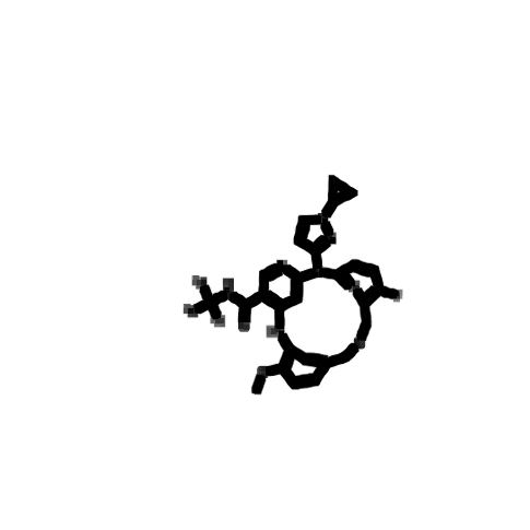 [2H]C([2H])([2H])NC(=O)c1cnc2cc1Nc1cc(ccc1OC)COCc1nc(ccc1F)N2c1ccn(C2CC2)n1